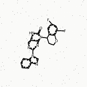 O=c1[nH]c2cnc(-n3cnc4ccccc43)nc2n1C1CCOc2c(F)cc(F)cc21